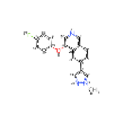 Cn1cc(-c2ccc3cncc(Oc4ccc(F)cc4)c3c2)cn1